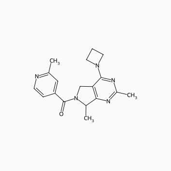 Cc1cc(C(=O)N2Cc3c(nc(C)nc3N3CCC3)C2C)ccn1